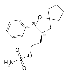 NS(=O)(=O)OCC[C@@H]1CC2(CCCC2)O[C@H]1c1ccccc1